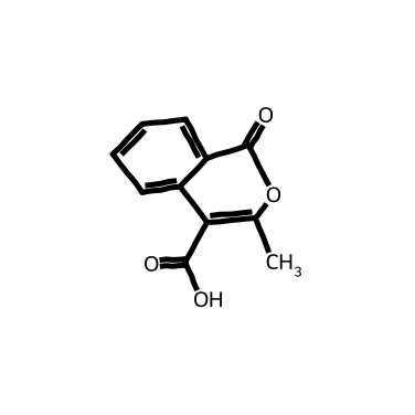 Cc1oc(=O)c2ccccc2c1C(=O)O